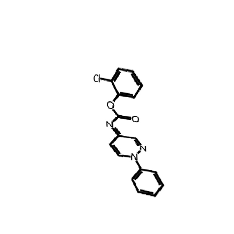 O=C(N=c1ccn(-c2ccccc2)nc1)Oc1ccccc1Cl